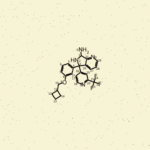 NC1NC(c2cccc(OCC3CCC3)c2)(c2ccnc(C(F)(F)F)c2)c2cccnc21